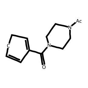 CC(=O)N1CCN(C(=O)C2=CCCC=C2)CC1